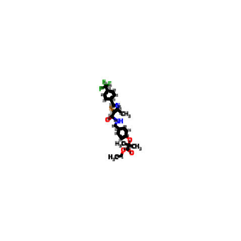 CCOC(=O)C(C)(C)Oc1ccc(CNC(=O)c2sc(-c3ccc(C(F)(F)F)cc3)nc2C)cc1